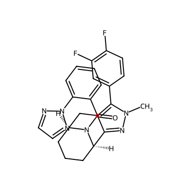 Cn1nc2c(c1-c1ccc(F)c(F)c1)C[C@@H]1CCC[C@H]2N1C(=O)c1ccccc1-n1nccn1